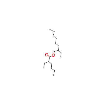 CCCCCCC(CC)COC(=O)C(CC)CCCC